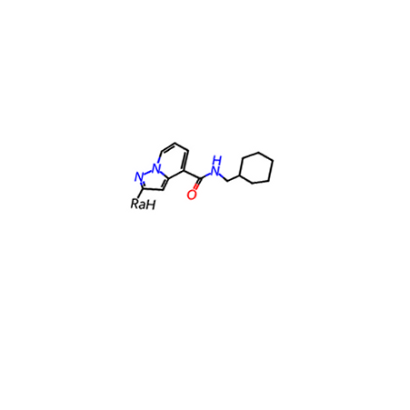 O=C(NCC1CCCCC1)c1cccn2n[c]([RaH])cc12